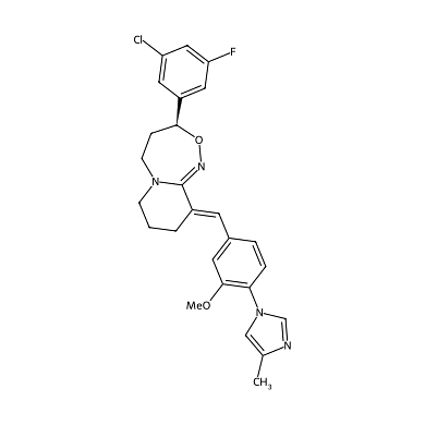 COc1cc(/C=C2\CCCN3CC[C@@H](c4cc(F)cc(Cl)c4)ON=C23)ccc1-n1cnc(C)c1